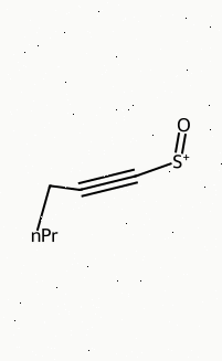 CCCCC#C[S+]=O